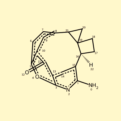 Nc1nc2oc3ccc4cc3c(=O)c2cc1[C@@H]1CCC12CC42